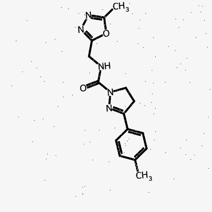 Cc1ccc(C2=NN(C(=O)NCc3nnc(C)o3)CC2)cc1